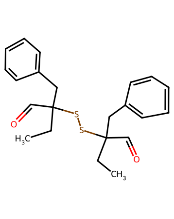 CCC(C=O)(Cc1ccccc1)SSC(C=O)(CC)Cc1ccccc1